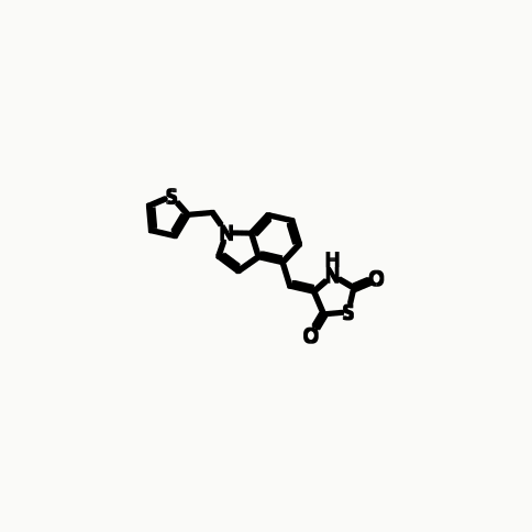 O=C1NC(=Cc2cccc3c2ccn3Cc2cccs2)C(=O)S1